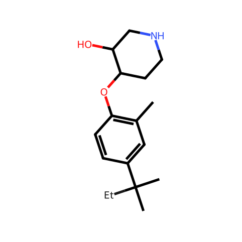 CCC(C)(C)c1ccc(OC2CCNCC2O)c(C)c1